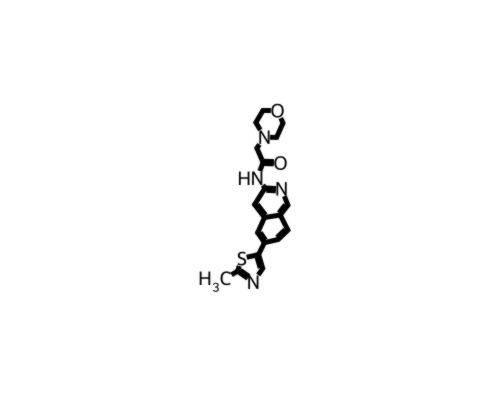 Cc1ncc(-c2ccc3cnc(NC(=O)CN4CCOCC4)cc3c2)s1